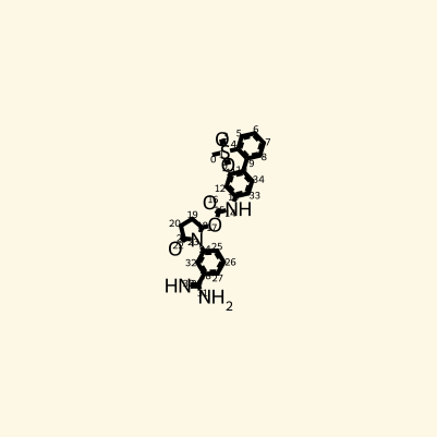 CS(=O)(=O)c1ccccc1-c1ccc(NC(=O)OC2CCC(=O)N2c2cccc(C(=N)N)c2)cc1